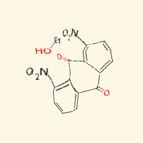 CCO.O=C1c2cccc([N+](=O)[O-])c2C(=O)c2c1cccc2[N+](=O)[O-]